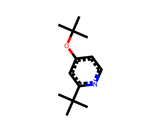 CC(C)(C)Oc1ccnc(C(C)(C)C)c1